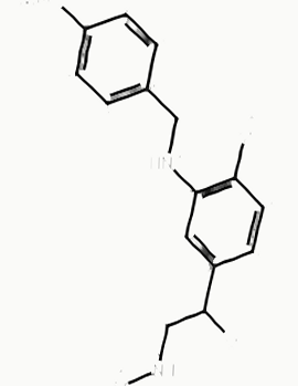 COc1ccc(CNc2cc(C(O)CNC(C)(C)C)ccc2O)cc1